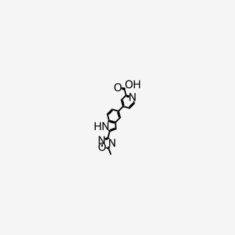 Cc1nc(-c2cc3cc(-c4ccnc(C(=O)O)c4)ccc3[nH]2)no1